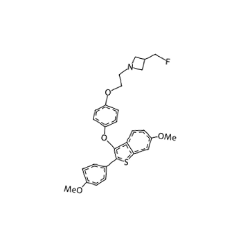 COc1ccc(-c2sc3cc(OC)ccc3c2Oc2ccc(OCCN3CC(CF)C3)cc2)cc1